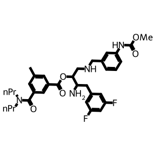 CCCN(CCC)C(=O)c1cc(C)cc(C(=O)OC(CNCc2cccc(NC(=O)OC)c2)C(N)Cc2cc(F)cc(F)c2)c1